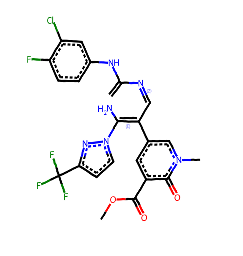 C=C(/N=C\C(=C(/N)n1ccc(C(F)(F)F)n1)c1cc(C(=O)OC)c(=O)n(C)c1)Nc1ccc(F)c(Cl)c1